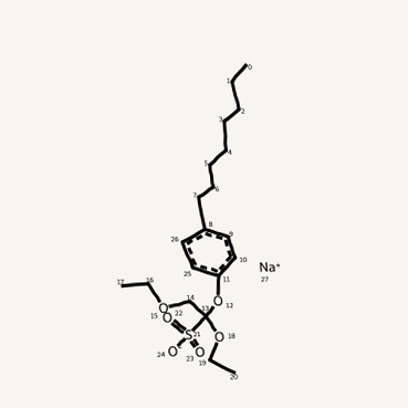 CCCCCCCCc1ccc(OC(COCC)(OCC)S(=O)(=O)[O-])cc1.[Na+]